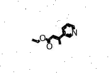 CCOC(=O)/C=C(\C)c1cccnc1